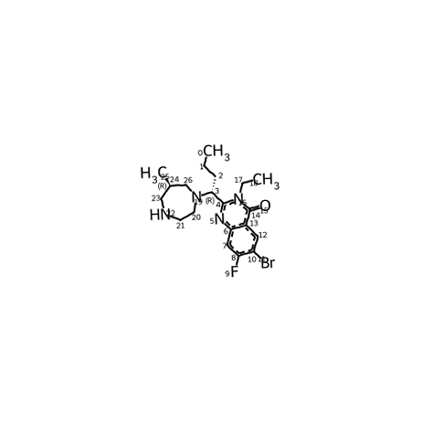 CCC[C@H](c1nc2cc(F)c(Br)cc2c(=O)n1CC)N1CCNC[C@@H](C)C1